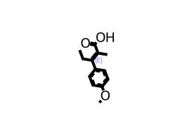 CC/C(=C(/C)C(=O)O)c1ccc(OC)cc1